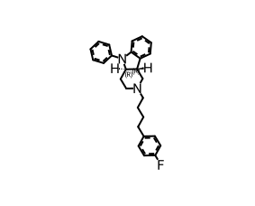 Fc1ccc(CCCCN2CC[C@@H]3[C@@H](C2)c2ccccc2N3c2ccccc2)cc1